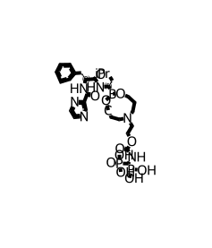 CC(C)C[C@@H](NC(=O)[C@@H](Cc1ccccc1)NC(=O)c1cnccn1)B1OCCCN(CCOC(=O)NC(P(O)O)P(=O)(O)O)CCCO1